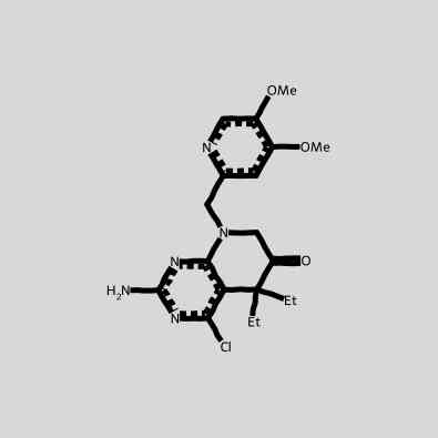 CCC1(CC)C(=O)CN(Cc2cc(OC)c(OC)cn2)c2nc(N)nc(Cl)c21